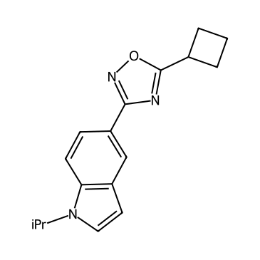 CC(C)n1ccc2cc(-c3noc(C4CCC4)n3)ccc21